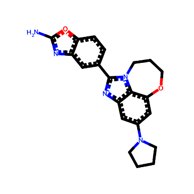 Nc1nc2cc(-c3nc4cc(N5CCCC5)cc5c4n3CCCO5)ccc2o1